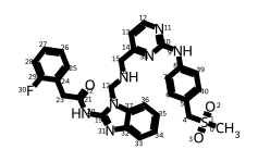 CS(=O)(=O)Cc1ccc(Nc2nccc(CNCn3c(NC(=O)Cc4ccccc4F)nc4ccccc43)n2)cc1